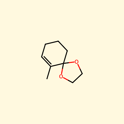 CC1=CCCCC12OCCO2